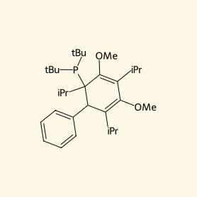 COC1=C(C(C)C)C(c2ccccc2)C(C(C)C)(P(C(C)(C)C)C(C)(C)C)C(OC)=C1C(C)C